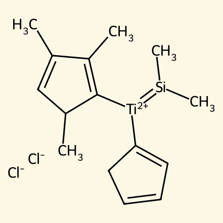 CC1=CC(C)[C]([Ti+2]([C]2=CC=CC2)=[Si](C)C)=C1C.[Cl-].[Cl-]